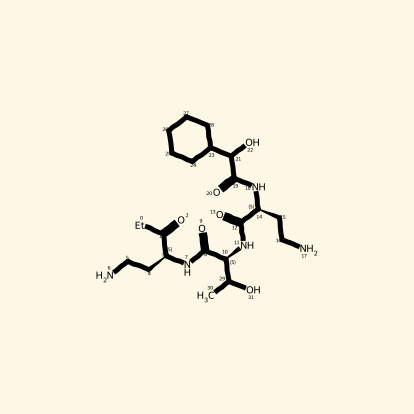 CCC(=O)[C@H](CCN)NC(=O)[C@@H](NC(=O)[C@H](CCN)NC(=O)C(O)C1CCCCC1)C(C)O